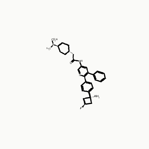 CN(C(=O)O)[C@H]1CC[C@H](CC(=O)Nc2cnc(-c3ccc([C@]4(N)C[C@H](F)C4)cc3)c(-c3ccccc3)c2)CC1